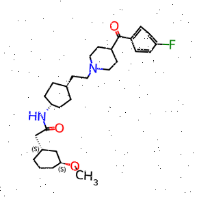 CO[C@H]1CCC[C@H](CC(=O)N[C@H]2CC[C@H](CCN3CCC(C(=O)c4ccc(F)cc4)CC3)CC2)C1